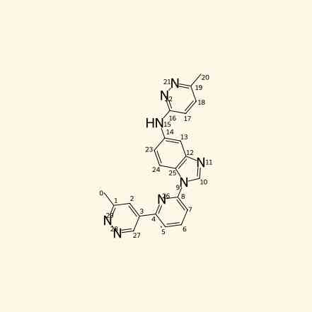 Cc1cc(-c2[c]ccc(-n3cnc4cc(Nc5ccc(C)nn5)ccc43)n2)cnn1